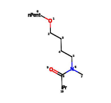 CCCCCOCCCCN(C)C(=O)C(C)C